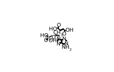 C[C@H](Cn1cnc2c(N)ncnc21)OCP(=O)(O)O.O=C(O)C=CC(=O)O